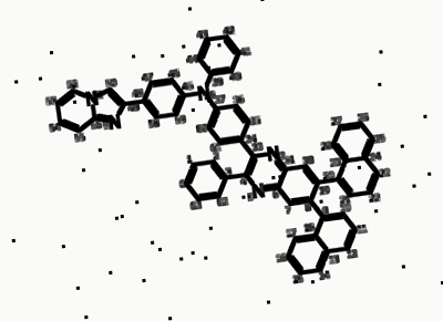 c1ccc(-c2nc3cc(-c4cccc5ccccc45)c(-c4cccc5ccccc45)cc3nc2-c2ccc(N(c3ccccc3)c3ccc(-c4cn5ccccc5n4)cc3)cc2)cc1